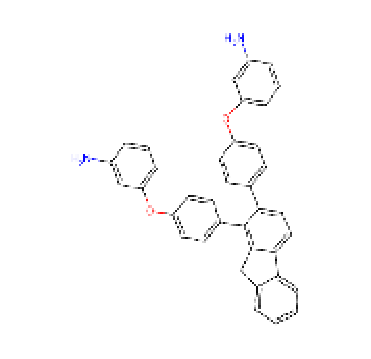 Nc1cccc(Oc2ccc(-c3ccc4c(c3-c3ccc(Oc5cccc(N)c5)cc3)Cc3ccccc3-4)cc2)c1